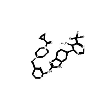 CC1C(C(F)(F)F)=NC=NC1C1CCC2N=C(NC3CC(CN4CCN(C(=O)C5CC5)CC4)CC=N3)NC2C1